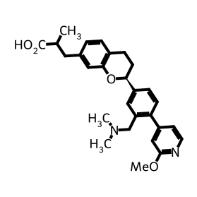 COc1cc(-c2ccc([C@@H]3CCc4ccc(CC(C)C(=O)O)cc4O3)cc2CN(C)C)ccn1